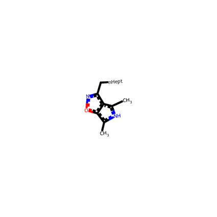 CCCCCCCCc1noc2c(C)[nH]c(C)c12